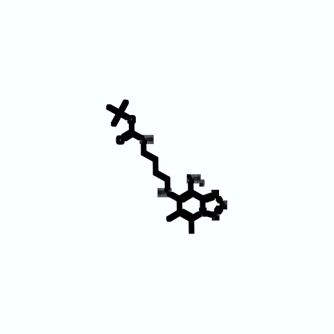 Cc1c(NCCCCNC(=O)OC(C)(C)C)c(N)c2nnnn2c1C